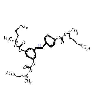 CC(=O)OCC[C@@H](C)OC(=O)Oc1cc(/C=C/c2ccc(OC(=O)O[C@H](C)CCCC(=O)O)cc2)cc(OC(=O)O[C@H](C)CCOC(C)=O)c1